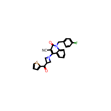 N#Cc1c(N2CC(C(=O)c3cccs3)C2)c2ccccc2n(Cc2ccc(F)cc2)c1=O